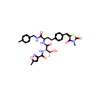 Cc1ccc(CNC(=O)C(CCc2ccc(C=C3SC(=O)N(C)C3=O)cc2)NC(=O)[C@@H](NC(=O)c2cc(C)on2)[C@@H](C)O)cc1